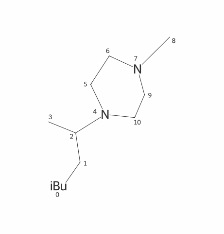 CCC(C)CC(C)N1CCN(C)CC1